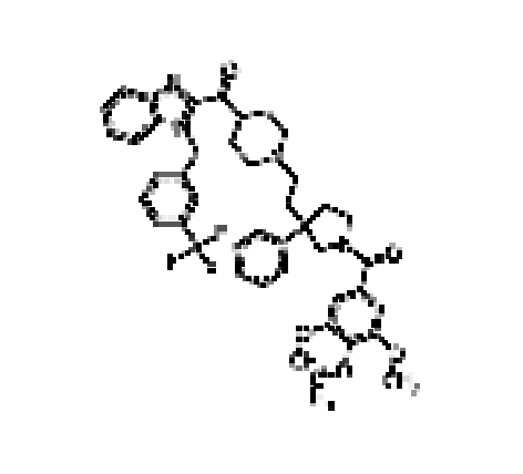 COc1cc(C(=O)N2CCC(CCN3CCC(C(=O)c4nc5ccccc5n4Cc4cccc(C(F)(F)F)c4)CC3)(c3ccccc3)C2)cc(OC)c1OC